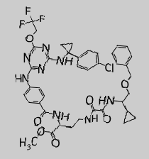 COC(=O)[C@H](CCNC(=O)C(=O)NC(COCc1ccccc1)C1CC1)NC(=O)c1ccc(Nc2nc(NC3(c4ccc(Cl)cc4)CC3)nc(OCC(F)(F)F)n2)cc1